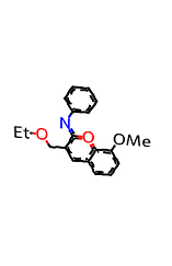 CCOCc1cc2cccc(OC)c2oc1=Nc1ccccc1